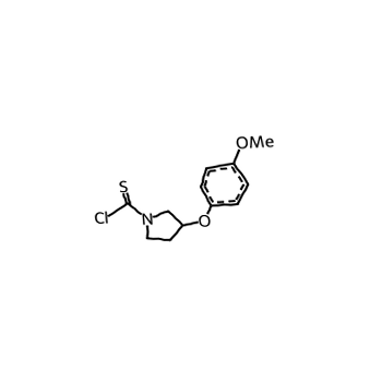 COc1ccc(OC2CCN(C(=S)Cl)C2)cc1